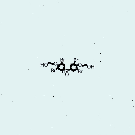 O=[PH](c1cc(Br)c(OCCO)c(Br)c1)c1cc(Br)c(OCCO)c(Br)c1